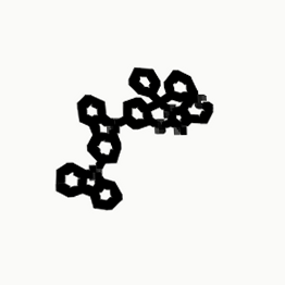 c1ccc(C2(c3ccccc3)c3ccc(-n4c5ccccc5c5cc(-n6c7ccccc7c7ccccc76)ccc54)cc3Sc3nc4ccccc4n32)cc1